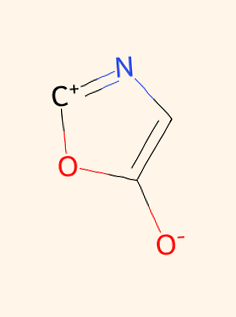 [O-]C1=CN=[C+]O1